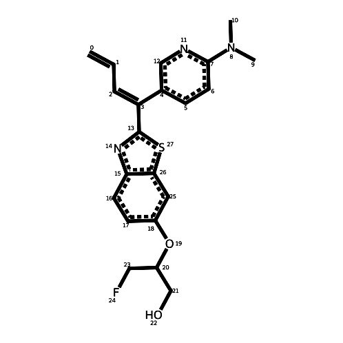 C=C/C=C(\c1ccc(N(C)C)nc1)c1nc2ccc(OC(CO)CF)cc2s1